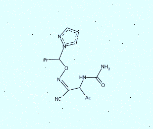 CC(=O)C(NC(N)=O)C(C#N)=NOC(C(C)C)n1cccn1